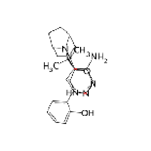 CC(C)([C@@H]1CNCCO1)N1C2CCC1CN(c1cc(-c3ccccc3O)nnc1N)C2